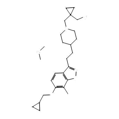 CNC.Cc1c(OCC2CC2)ccc2c(CCC3CCN(CC4(CO)CC4)CC3)noc12